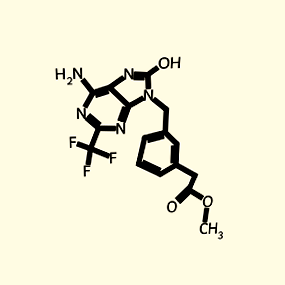 COC(=O)Cc1cccc(Cn2c(O)nc3c(N)nc(C(F)(F)F)nc32)c1